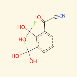 N#CC(=O)c1cccc(C(O)(O)F)c1C(O)(O)F